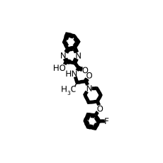 C[C@H](NC(=O)c1nc2ccccc2nc1O)C(=O)N1CCC(Oc2ccccc2F)CC1